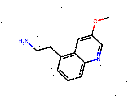 COc1cnc2cccc(CCN)c2c1